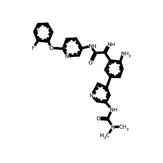 CN(C)C(=O)Nc1cncc(-c2ccc(N)c(C(=N)C(=O)Nc3ccc(Oc4ccccc4F)nc3)c2)c1